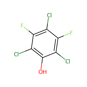 Oc1c(Cl)c(F)c(Cl)c(F)c1Cl